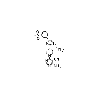 CS(=O)(=O)c1cccc(-c2cn(CCN3CCC3)c(C3CCN(c4ncnc(N)c4C#N)CC3)n2)c1